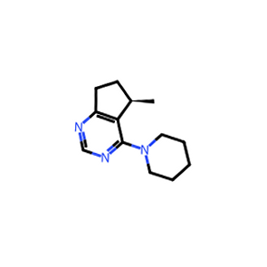 C[C@@H]1CCc2ncnc(N3CCCCC3)c21